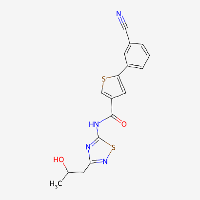 CC(O)Cc1nsc(NC(=O)c2csc(-c3cccc(C#N)c3)c2)n1